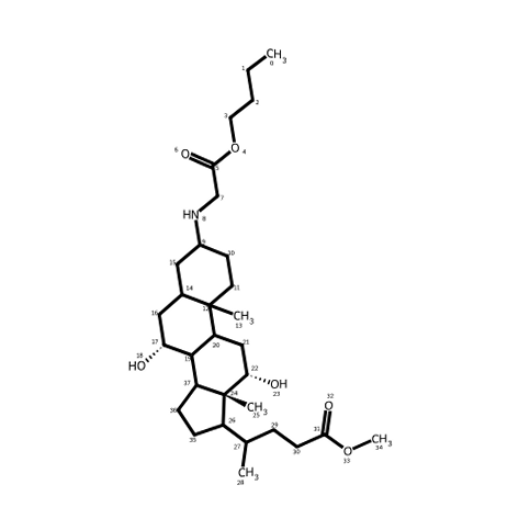 CCCCOC(=O)CNC1CCC2(C)C(C1)C[C@@H](O)C1C2C[C@H](O)[C@]2(C)C(C(C)CCC(=O)OC)CCC12